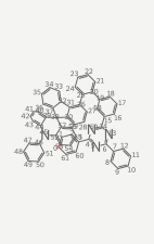 c1ccc(-c2nc(-c3ccccc3)nc(-c3cccc(-c4ccccc4-c4cccc5c4-c4ccccc4C54c5ccccc5N(c5ccccc5)c5ccccc54)c3)n2)cc1